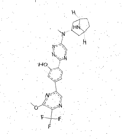 COc1nc(-c2ccc(-c3ncc(N(C)[C@@H]4C[C@H]5CC[C@@H](C4)N5)nn3)c(O)c2)cnc1C(F)(F)F